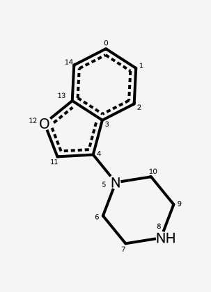 c1ccc2c(N3CCNCC3)coc2c1